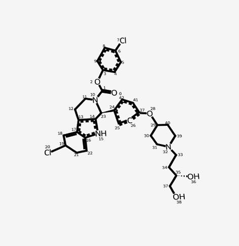 O=C(Oc1ccc(Cl)cc1)N1CCc2c([nH]c3c2=CC(Cl)CC=3)[C@@H]1c1ccc(OC2CCN(CC[C@H](O)CO)CC2)cc1